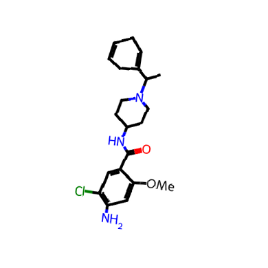 COc1cc(N)c(Cl)cc1C(=O)NC1CCN(C(C)C2=CCC=CC2)CC1